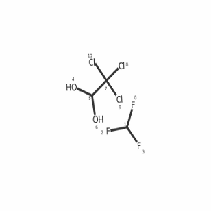 F[C](F)F.OC(O)C(Cl)(Cl)Cl